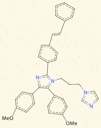 COc1ccc(-c2nc(-c3ccc(C=Cc4ccccc4)cc3)n(CCCn3ccnc3)c2-c2ccc(OC)cc2)cc1